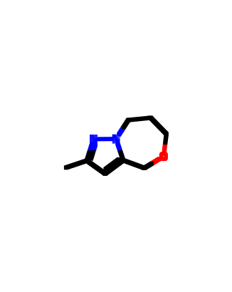 Cc1cc2n(n1)CCCOC2